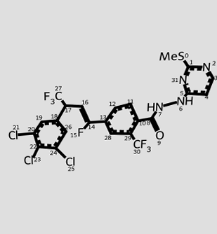 CSc1nccc(NNC(=O)c2ccc(C(F)=CC(c3cc(Cl)c(Cl)c(Cl)c3)C(F)(F)F)cc2C(F)(F)F)n1